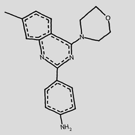 Cc1ccc2c(N3CCOCC3)nc(-c3ccc(N)cc3)nc2c1